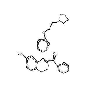 O=C(C1=C(c2ccc(OCCN3CCCC3)cc2)c2cc(O)ccc2CC1)c1ccccc1